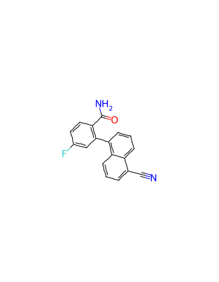 N#Cc1cccc2c(-c3cc(F)ccc3C(N)=O)cccc12